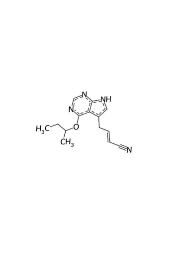 CCC(C)Oc1ncnc2[nH]cc(CC=CC#N)c12